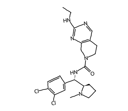 CCNc1ncc2c(n1)CN(C(=O)N[C@@H](c1ccc(Cl)c(Cl)c1)[C@H]1CCCN1C)CC2